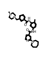 Cc1ccc(NC(=O)c2ccnc(N3CCCCCC3)c2)cc1NC(=O)c1cccc(CN2CCN(C)CC2)c1